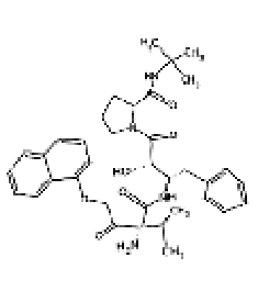 CC(C)[C@@](N)(C(=O)COc1cccc2ccccc12)C(=O)N[C@@H](Cc1ccccc1)[C@H](O)C(=O)N1CCC[C@H]1C(=O)NC(C)(C)C